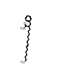 CCCCCCC=CCCCCCCC(Cc1ccccc1)C(N)=O